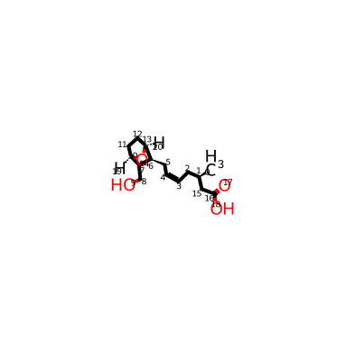 C[C@H](C/C=C\C[C@H]1C(CO)[C@H]2CC[C@@H]1O2)CC(=O)O